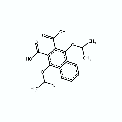 CC(C)Oc1c(C(=O)O)c(C(=O)O)c(OC(C)C)c2ccccc12